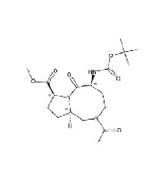 COC(=O)[C@@H]1CC[C@@H]2CN(C(C)=O)CC[C@H](NC(=O)OC(C)(C)C)C(=O)N21